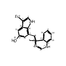 CCc1c[nH]c2c(CC3(C)N=CNc4ccccc43)cc(O)cc12